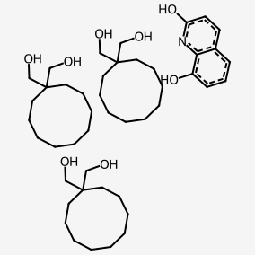 OCC1(CO)CCCCCCCCC1.OCC1(CO)CCCCCCCCC1.OCC1(CO)CCCCCCCCC1.Oc1ccc2cccc(O)c2n1